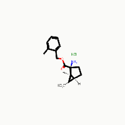 Cc1ccccc1COC(=O)[C@]1(N)CC[C@H]2[C@H](C(=O)O)[C@H]21.Cl